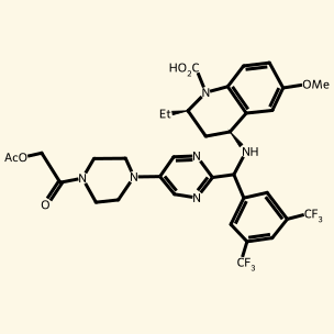 CC[C@@H]1C[C@H](NC(c2cc(C(F)(F)F)cc(C(F)(F)F)c2)c2ncc(N3CCN(C(=O)COC(C)=O)CC3)cn2)c2cc(OC)ccc2N1C(=O)O